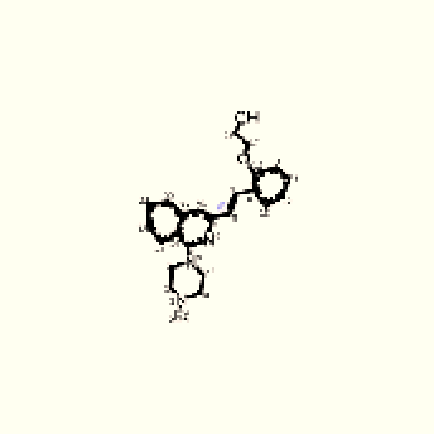 CCN1CCN(c2nc(/C=C/c3ccccc3OCCO)cc3ccccc23)CC1